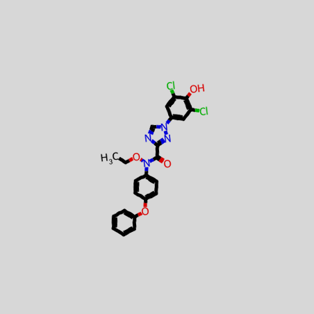 CCON(C(=O)c1ncn(-c2cc(Cl)c(O)c(Cl)c2)n1)c1ccc(Oc2ccccc2)cc1